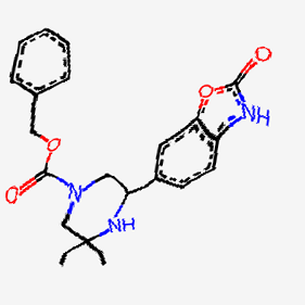 CC1(C)CN(C(=O)OCc2ccccc2)CC(c2ccc3[nH]c(=O)oc3c2)N1